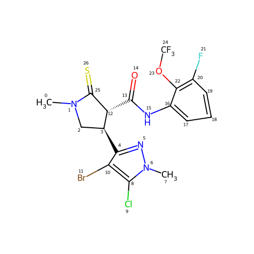 CN1C[C@H](c2nn(C)c(Cl)c2Br)[C@@H](C(=O)Nc2cccc(F)c2OC(F)(F)F)C1=S